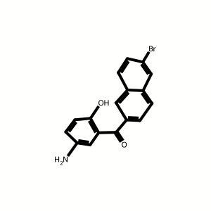 Nc1ccc(O)c(C(=O)c2ccc3cc(Br)ccc3c2)c1